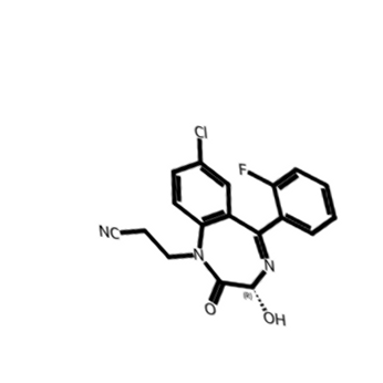 N#CCCN1C(=O)[C@@H](O)N=C(c2ccccc2F)c2cc(Cl)ccc21